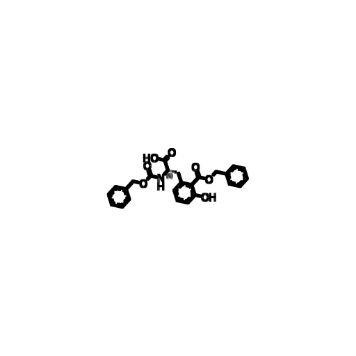 O=C(N[C@@H](Cc1cccc(O)c1C(=O)OCc1ccccc1)C(=O)O)OCc1ccccc1